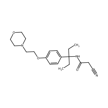 CCC(CC)(NC(=O)CC#N)c1ccc(OCCN2CCOCC2)cc1